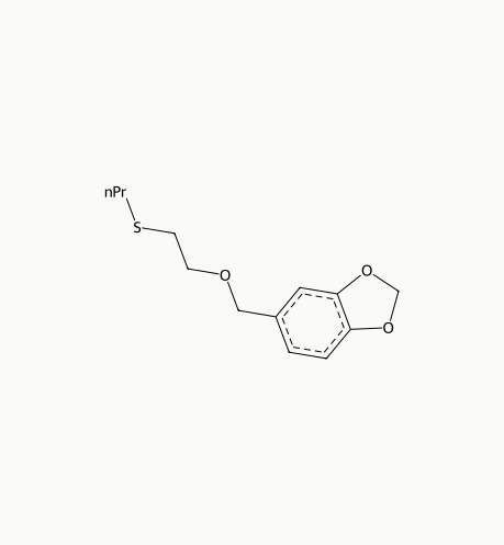 CCCSCCOCc1ccc2c(c1)OCO2